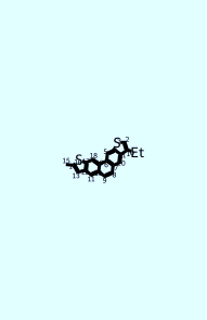 CCc1csc2cc3c(ccc4cc5cc(C)sc5cc43)cc12